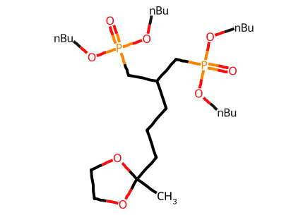 CCCCOP(=O)(CC(CCCC1(C)OCCO1)CP(=O)(OCCCC)OCCCC)OCCCC